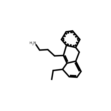 CCC1C=CC=C2Cc3ccccc3C(CCCN)=C21